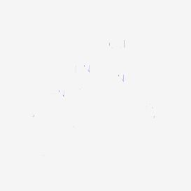 O=C(Nc1ccccc1)NC(N1CCOCC1)C(Cl)(Cl)Cl